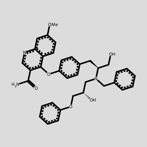 COc1ccc2c(Oc3ccc(C[C@@H](CO)N(Cc4ccccc4)C[C@H](O)COc4ccccc4)cc3)c(C(N)=O)cnc2c1